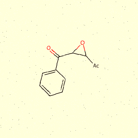 CC(=O)C1OC1C(=O)c1ccccc1